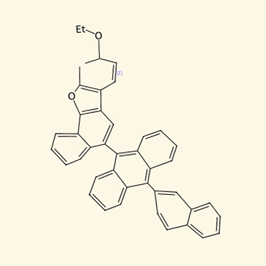 CCOC(C)/C=C\c1c(C)oc2c1cc(-c1c3ccccc3c(-c3ccc4ccccc4c3)c3ccccc13)c1ccccc12